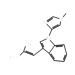 Cn1cnc(-n2cc(/C=C(\C#N)C(=O)O)c3ccccc32)c1